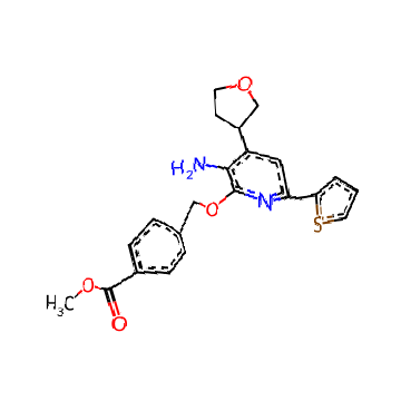 COC(=O)c1ccc(COc2nc(-c3cccs3)cc(C3CCOC3)c2N)cc1